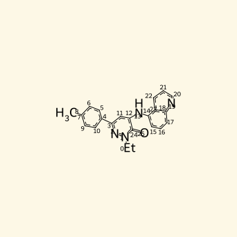 CCn1nc(-c2ccc(C)cc2)cc(Nc2cccc3ncccc23)c1=O